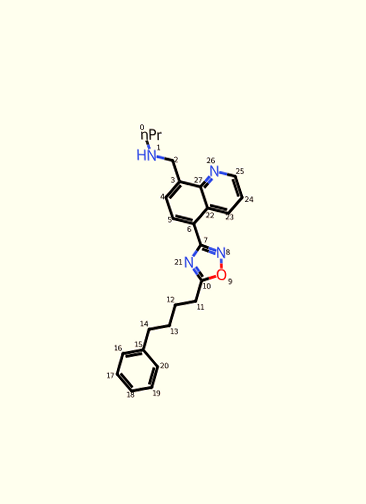 [CH2]CCNCc1ccc(-c2noc(CCCCc3ccccc3)n2)c2cccnc12